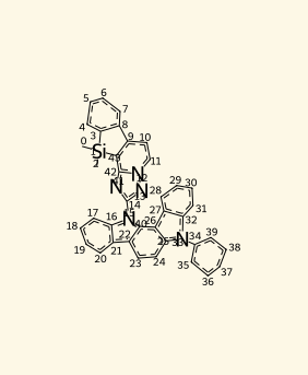 C[Si]1(C)c2ccccc2-c2ccn3nc(-n4c5ccccc5c5ccc6c(c7ccccc7n6-c6ccccc6)c54)nc3c21